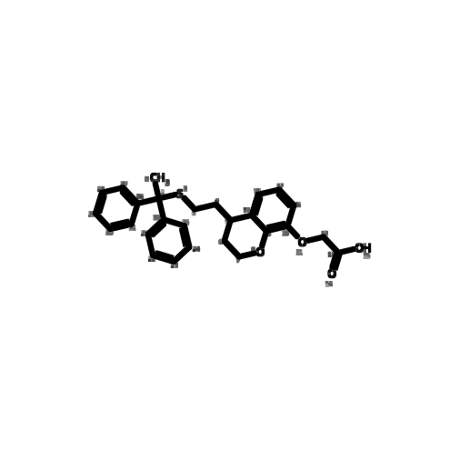 CC(SCCC1CCOc2c(OCC(=O)O)cccc21)(c1ccccc1)c1ccccc1